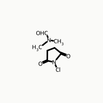 CN(C)C=O.O=C1CCC(=O)N1Cl